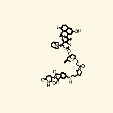 C#Cc1c(F)ccc2cc(O)cc(-c3ncc4c(N5CC6CCC(C5)N6)nc(OC[C@@]56CC[C@@H](COC(=O)N7CCC(CCNc8ccc9c(c8)C(=O)N(C8CCC(=O)NC8=O)C9=O)C7)N5CC(=C)C6)nc4c3F)c12